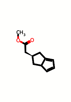 COC(=O)C[C@H]1CC2=CC=CC2C1